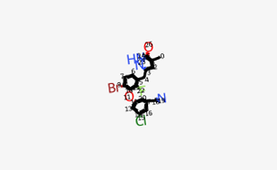 Cc1cc(Cc2ccc(Br)c(Oc3cc(Cl)cc(C#N)c3)c2F)n[nH]c1=O